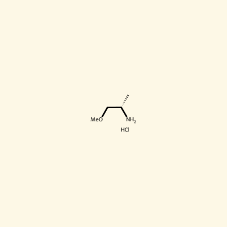 COC[C@H](C)N.Cl